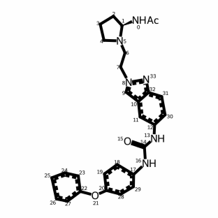 CC(=O)N[C@@H]1CCCN1CCn1cc2cc(NC(=O)Nc3ccc(Oc4ccccc4)cc3)ccc2n1